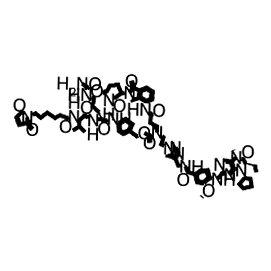 CC[C@@H]1C(=O)N(C)c2cnc(Nc3ccc(C(=O)NCc4cn(CCN(CCC(=O)Nc5cccc6c5CN(C5CCC(=O)NC5=O)C6=O)C(=O)OCc5ccc(NC(=O)[C@H](CCCNC(N)=O)NC(=O)[C@@H](NC(=O)CCCCCN6C(=O)C=CC6=O)C(C)C)cc5)nn4)cc3OC)nc2N1C1CCCC1